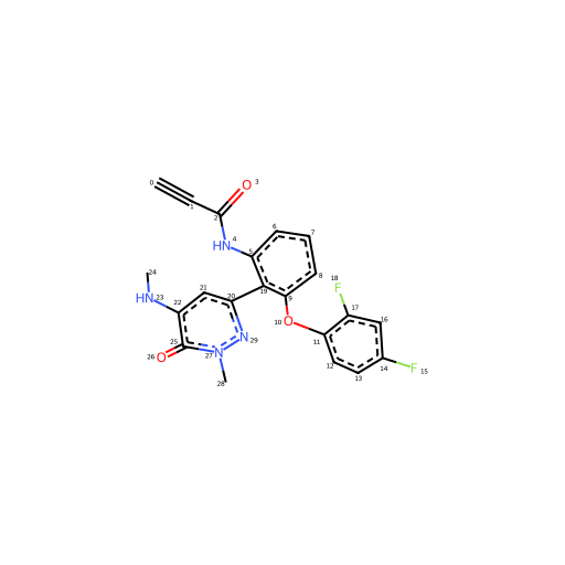 C#CC(=O)Nc1cccc(Oc2ccc(F)cc2F)c1-c1cc(NC)c(=O)n(C)n1